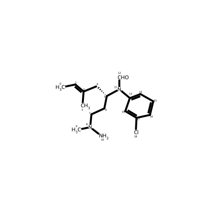 C/C=C(\C)C[C@@H](CCN(C)N)N(C=O)c1cccc(Cl)c1